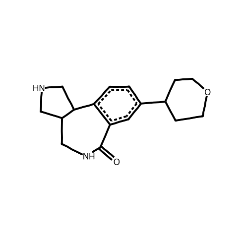 O=C1NCC2CNCC2c2ccc(C3CCOCC3)cc21